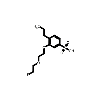 CCCc1ccc(S(=O)(=O)O)cc1OCCOCCF